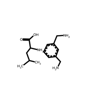 CC(C)CC(N)C(=O)O.NCc1cccc(CN)c1